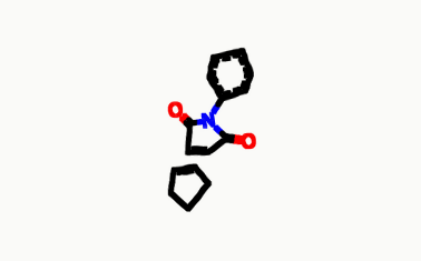 C1=CCCC1.O=C1C=CC(=O)N1c1ccccc1